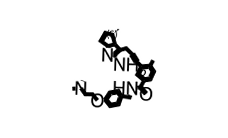 Cc1ccc(C(=O)NCc2ccc(OCCN(C)C)cc2)cc1C#CCC1=C(N)N=C2C=C[C@H](C)C21